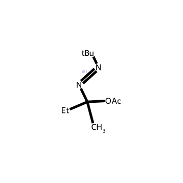 CCC(C)(/N=N/C(C)(C)C)OC(C)=O